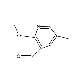 COc1ncc(C)cc1[C]=O